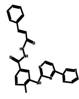 Cc1ccc(C(=O)NNC(=O)/C=C/c2ccccc2)cc1Nc1nccc(-c2cccnc2)n1